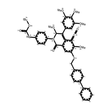 COc1cc(C2=c3c(cc(OCc4ccc(-c5ccccc5)cc4)c(OC)c3=C=O)C(=O)N(c3ccc(NC(=O)OC(C)(C)C)cc3)C2OC)cc(OC)c1OC